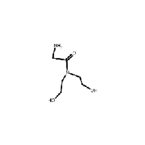 NCC(=O)N(CCO)CCO